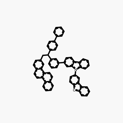 c1ccc(-c2ccc(C(Cc3ccc4ccc5c6ccccc6ccc5c4c3)c3cccc(-c4ccc5c6ccccc6n(-c6ccc7oc8ccccc8c7c6)c5c4)c3)cc2)cc1